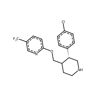 FC(F)(F)c1ccc(OCC2CCNC[C@H]2c2ccc(Cl)cc2)nc1